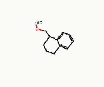 O=COCC1CCCc2ccccc21